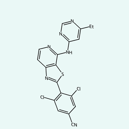 CCc1cc(Nc2nccc3nc(-c4c(Cl)cc(C#N)cc4Cl)sc23)ncn1